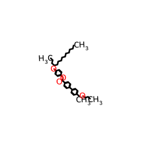 CCCCCCCCCCCC(CCC)Oc1ccc(OC(=O)c2ccc(-c3ccc(C(C)OCCC)cc3)cc2)cc1